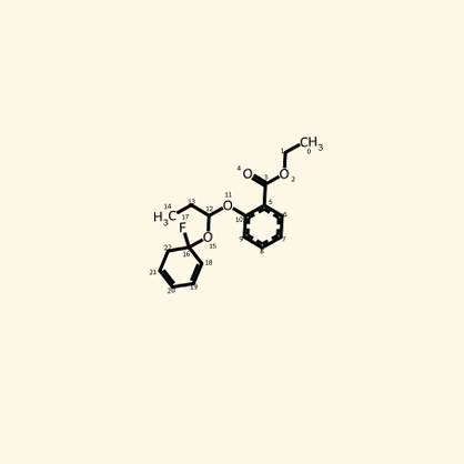 CCOC(=O)c1ccccc1OC(CC)OC1(F)C=CC=CC1